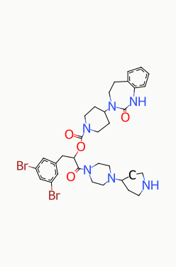 O=C(OC(Cc1cc(Br)cc(Br)c1)C(=O)N1CCN(C2CCNCC2)CC1)N1CCC(N2CCc3ccccc3NC2=O)CC1